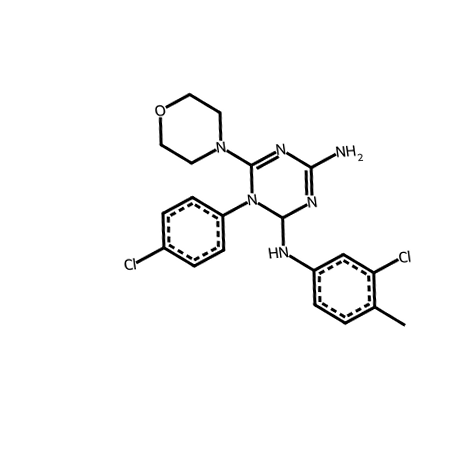 Cc1ccc(NC2N=C(N)N=C(N3CCOCC3)N2c2ccc(Cl)cc2)cc1Cl